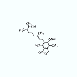 C=C(O)C(C)CCC/C(C)=C/Cc1c(O)c2c(c(C)c1OC)COC2=O